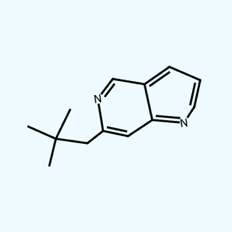 CC(C)(C)Cc1cc2ncccc2cn1